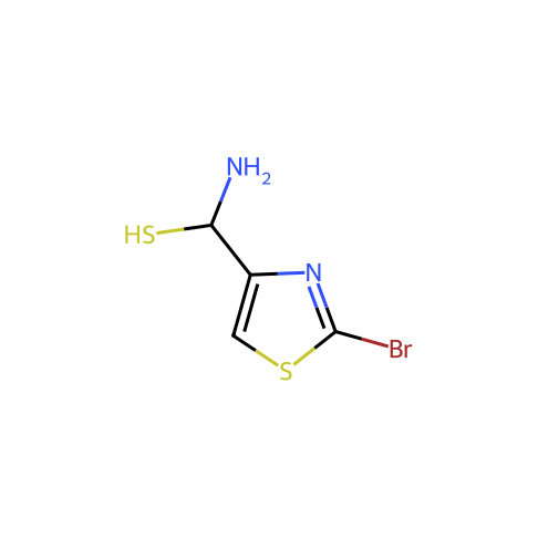 NC(S)c1csc(Br)n1